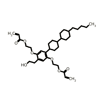 C=CC(=O)OCCOc1cc(C2CCC(C3CCC(CCCCC)CC3)CC2)c(OCCOC(=O)C=C)cc1CCO